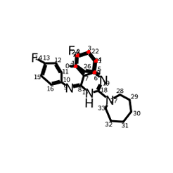 Cc1cccc(C)c1/C(=N\c1ccc(F)cc1)N/C(=N\c1ccc(F)cc1)N1CCCCCC1